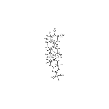 CN(C[C@@]1(C)CC[C@]2(C)CC[C@@]3(C)[C@]4(C)CC[C@H]5C(C)(C)C(=O)C(C#N)=C[C@]5(C)C4=CC(=O)[C@]3(O)[C@@H]2C1)S(C)(=O)=O